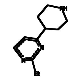 CCc1nccc(C2CCNCC2)n1